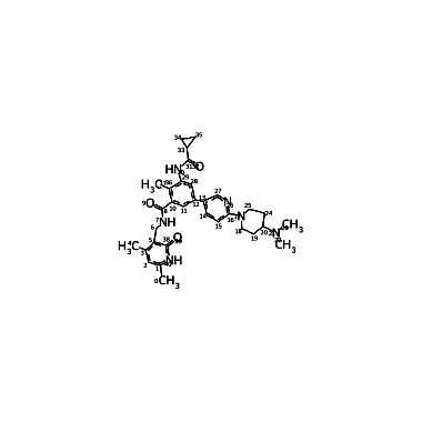 Cc1cc(C)c(CNC(=O)c2cc(-c3ccc(N4CCC(N(C)C)CC4)nc3)cc(NC(=O)C3CC3)c2C)c(=O)[nH]1